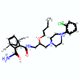 CCCCOC(CNC(=O)C1C(C(N)=O)[C@@H]2C=C[C@H]1C2)CN1CCN(c2ccccc2Cl)CC1